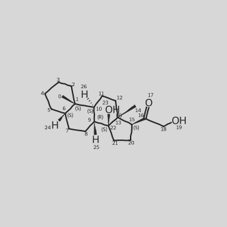 C[C@]12CCCC[C@H]1CC[C@@H]1[C@@H]2CC[C@]2(C)[C@@H](C(=O)CO)CC[C@]12O